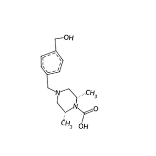 C[C@@H]1CN(Cc2ccc(CO)cc2)C[C@H](C)N1C(=O)O